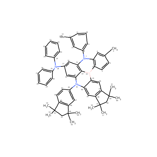 Cc1ccc2c(c1)N(c1cccc(C(C)(C)C)c1)c1cc(N(c3ccccc3)c3ccccc3)cc3c1B2c1cc2c(cc1N3c1ccc3c(c1)C(C)(C)CC3(C)C)C(C)(C)CC2(C)C